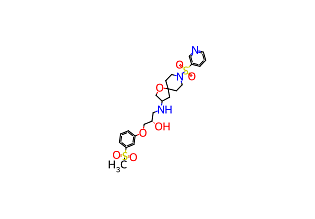 CS(=O)(=O)c1cccc(OC[C@@H](O)CNC2COC3(CCN(S(=O)(=O)c4cccnc4)CC3)C2)c1